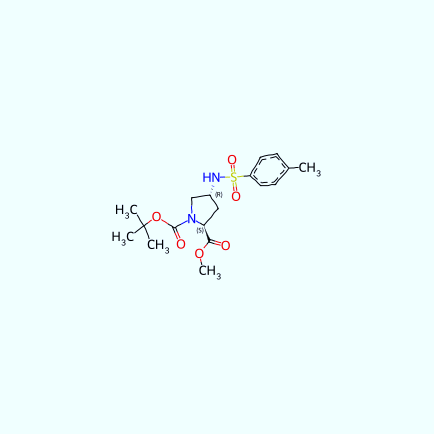 COC(=O)[C@@H]1C[C@@H](NS(=O)(=O)c2ccc(C)cc2)CN1C(=O)OC(C)(C)C